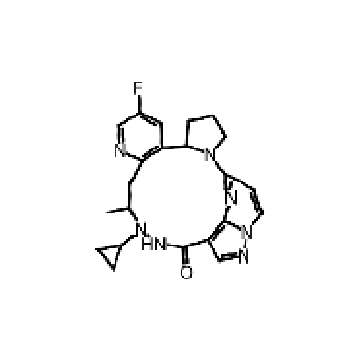 CC1Cc2ncc(F)cc2C2CCCN2c2ccn3ncc(c3n2)C(=O)NN1C1CC1